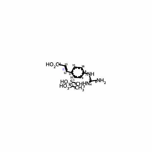 CS(=O)(=O)O.CS(=O)(=O)O.N=C(N)Nc1ccc(/C=C/C(=O)O)cc1